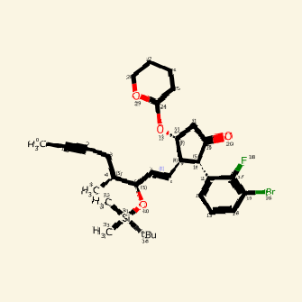 CC#CC[C@H](C)[C@@H](/C=C/[C@@H]1[C@@H](c2cccc(Br)c2F)C(=O)C[C@H]1OC1CCCCO1)O[Si](C)(C)C(C)(C)C